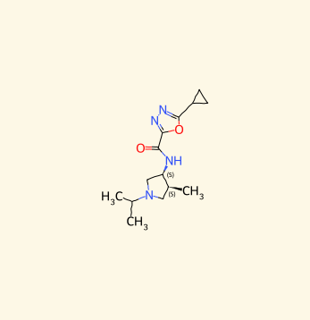 CC(C)N1C[C@H](C)[C@H](NC(=O)c2nnc(C3CC3)o2)C1